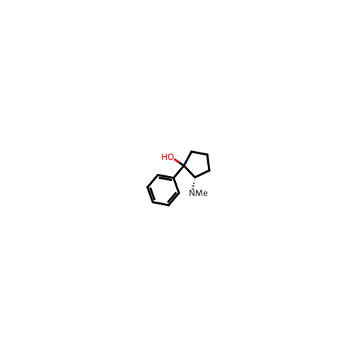 CN[C@H]1CCCC1(O)c1ccccc1